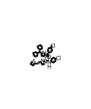 O=C(Nc1ccc(Cl)cc1)n1ccc(/C=C/c2cccs2)n1.O=C(c1ccc(Cl)cc1)n1ccc(C(c2ccccc2)c2ccccc2)n1